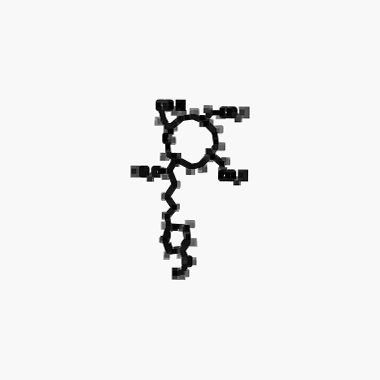 CCOc1ccc(CCCC[C@@H](C(=O)O)N2CCN(CC(=O)O)CCN(CC(=O)O)CCN(CC(=O)O)CC2)cc1